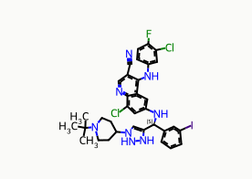 CC(C)(C)N1CCC(N2C=C([C@@H](Nc3cc(Cl)c4ncc(C#N)c(Nc5ccc(F)c(Cl)c5)c4c3)c3cccc(I)c3)NN2)CC1